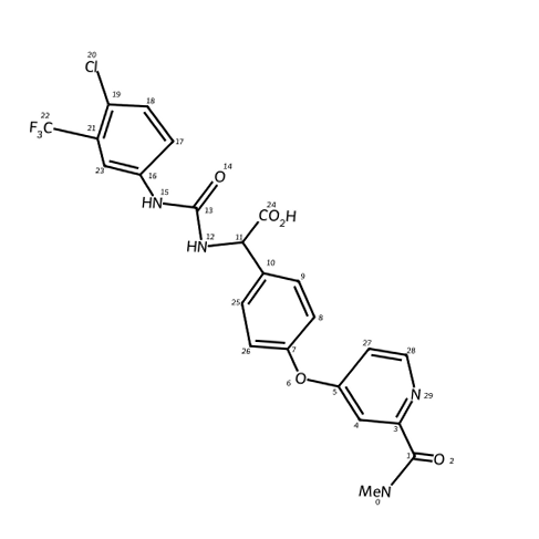 CNC(=O)c1cc(Oc2ccc(C(NC(=O)Nc3ccc(Cl)c(C(F)(F)F)c3)C(=O)O)cc2)ccn1